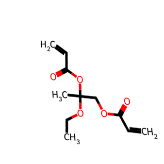 C=CC(=O)OCC(C)(OCC)OC(=O)C=C